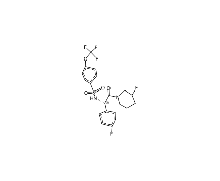 O=C([C@@H](NS(=O)(=O)c1ccc(OC(F)(F)F)cc1)c1ccc(F)cc1)N1CCCC(F)C1